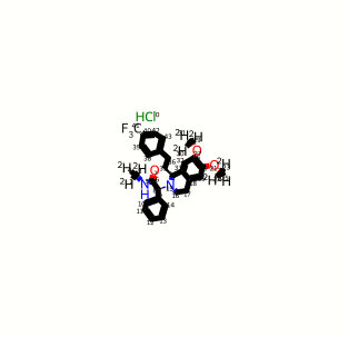 Cl.[2H]C([2H])([2H])NC(=O)[C@@H](c1ccccc1)N1CCc2cc(OC([2H])([2H])[2H])c(OC([2H])([2H])[2H])cc2[C@@H]1CCc1ccc(C(F)(F)F)cc1